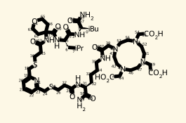 CC[C@H](C)[C@H](NC(=O)[C@H](CC(C)C)NC(=O)C1(NC(=O)CCSCc2cccc(CSCCC(=O)N[C@@H](CCCCNC(=O)CN3CCN(CC(=O)O)CCN(CC(=O)O)CCN(CC(=O)O)CC3)C(N)=O)n2)CCOCC1)C(N)=O